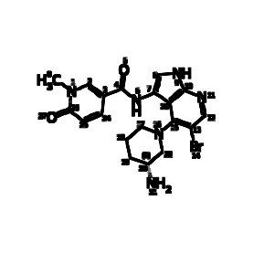 Cn1cc(C(=O)Nc2c[nH]c3ncc(Br)c(N4CCC[C@@H](N)C4)c23)ccc1=O